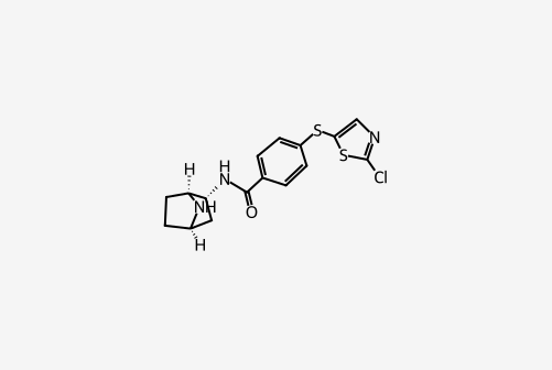 O=C(N[C@@H]1C[C@H]2CC[C@@H]1N2)c1ccc(Sc2cnc(Cl)s2)cc1